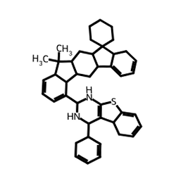 CC1(C)C2C=CC=C(C3NC4=C(C5CC=CC=C5S4)C(C4C=CC=CC4)N3)C2C2CC3C4=CC=CCC4C4(CCCCC4)C3CC21